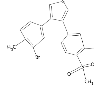 Cc1ccc(-c2cscc2-c2ccc(S(C)(=O)=O)c(F)c2)cc1Br